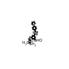 CN(C)C(=O)Oc1c(F)cc(-c2nc(-c3ccc(N4CCCC4)cc3)ns2)cc1C=O